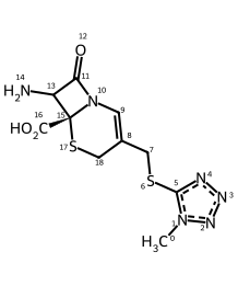 Cn1nnnc1SCC1=CN2C(=O)C(N)[C@@]2(C(=O)O)SC1